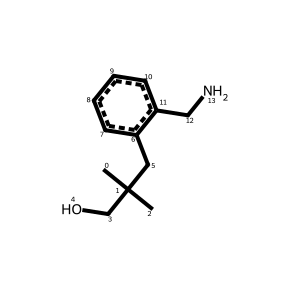 CC(C)(CO)Cc1ccccc1CN